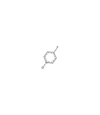 [O-][n+]1ccc(F)cc1